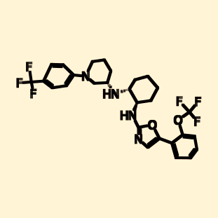 FC(F)(F)Oc1ccccc1-c1cnc(N[C@@H]2CCCC[C@H]2N[C@H]2CCCN(c3ccc(C(F)(F)F)cc3)C2)o1